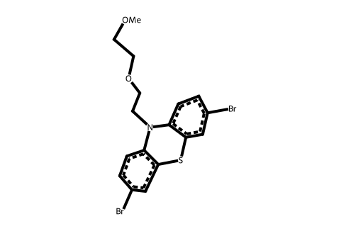 COCCOCCN1c2ccc(Br)cc2Sc2cc(Br)ccc21